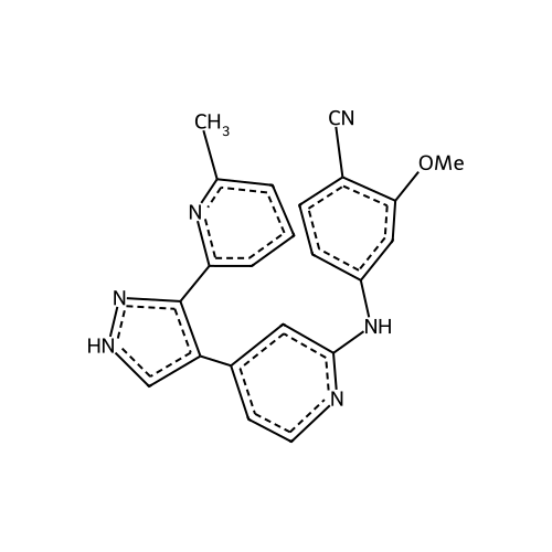 COc1cc(Nc2cc(-c3c[nH]nc3-c3cccc(C)n3)ccn2)ccc1C#N